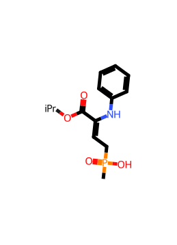 CC(C)OC(=O)/C(=C/CP(C)(=O)O)Nc1ccccc1